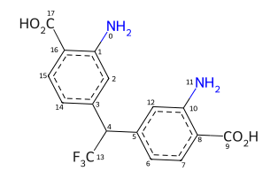 Nc1cc(C(c2ccc(C(=O)O)c(N)c2)C(F)(F)F)ccc1C(=O)O